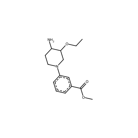 CCOC1CN(c2cccc(C(=O)OC)c2)CCC1N